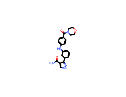 NC(=O)c1c[nH]nc1C1C=CC=C(Nc2ccc(C(=O)N3CCOCC3)cc2)C1